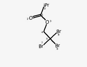 CC(C)C(=O)OCC(Br)(Br)Br